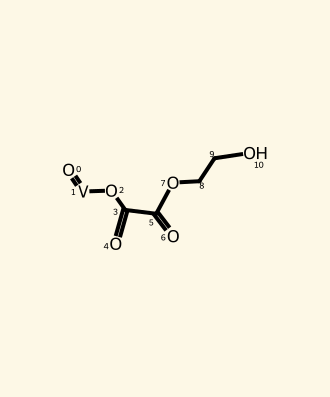 [O]=[V][O]C(=O)C(=O)OCCO